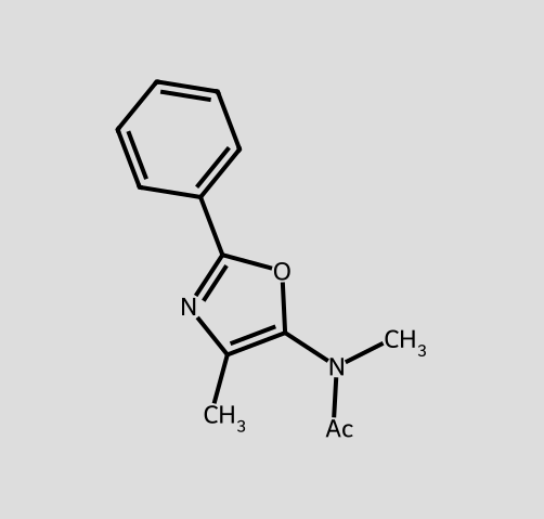 CC(=O)N(C)c1oc(-c2ccccc2)nc1C